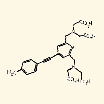 Cc1ccc(C#Cc2cc(CN(CC(=O)O)CC(=O)O)nc(CN(CC(=O)O)CC(=O)O)c2)cc1